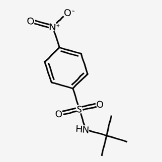 CC(C)(C)NS(=O)(=O)c1ccc([N+](=O)[O-])cc1